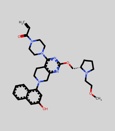 C=CC(=O)N1CCN(c2nc(OC[C@@H]3CCCN3CCOC)nc3c2CCN(c2cc(O)cc4ccccc24)C3)CC1